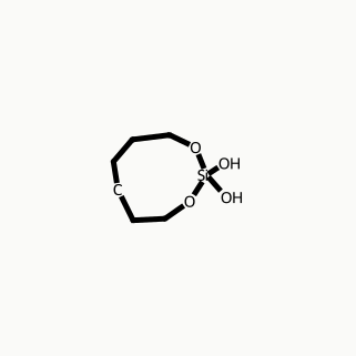 O[Si]1(O)OCCCCCCO1